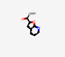 COC(=O)c1cc2cccnc2o1